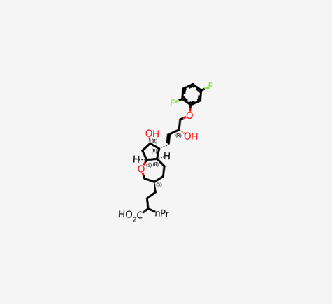 CCCC(CC[C@@H]1CC[C@@H]2[C@@H](C=C[C@@H](O)COc3cc(F)ccc3F)[C@H](O)C[C@@H]2OC1)C(=O)O